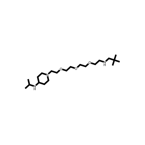 CC(C)NC1CCN(CCOCCOCCOCCNCC(C)(C)C)CC1